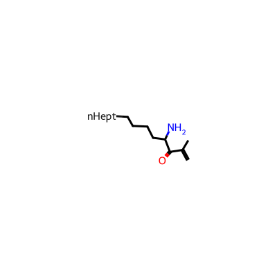 C=C(C)C(=O)C(N)CCCCCCCCCCC